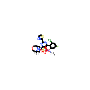 COC(=O)c1c(CN2C3COC[C@H]2CN(S(N)(=O)=O)C3)nc(-c2nccs2)nc1-c1ccc(F)cc1Cl